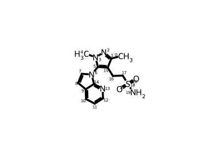 Cc1nn(C)c(-n2ccc3cccnc32)c1CCS(N)(=O)=O